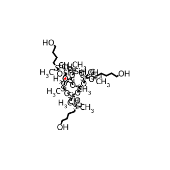 C[Si](C)(CCCCO)O[Si]1(C)O[Si]2(C)O[Si](C)(O[Si](C)(C)CCCCO)O[Si]3(C)O[Si](C)(O[Si](C)(C)CCCCO)O[Si](C)(O1)O[Si](C)(O2)O3